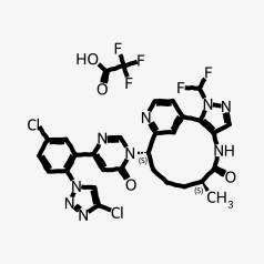 C[C@H]1CCC[C@H](n2cnc(-c3cc(Cl)ccc3-n3cc(Cl)nn3)cc2=O)c2cc(ccn2)-c2c(cnn2C(F)F)NC1=O.O=C(O)C(F)(F)F